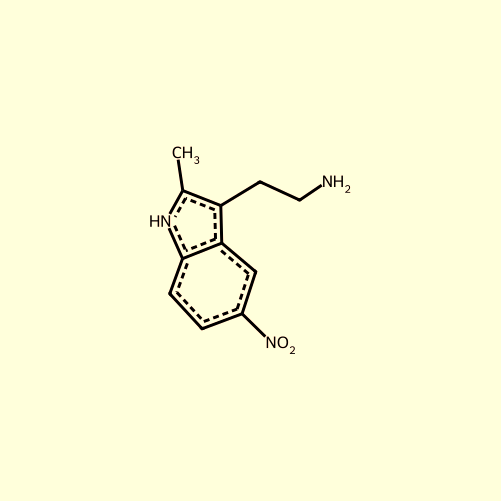 Cc1[nH]c2ccc([N+](=O)[O-])cc2c1CCN